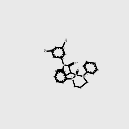 O=C1CC(P2(=O)N(c3ccccc3)CCCN2c2ccccc2)C(=O)N1c1cc(Cl)cc(Cl)c1